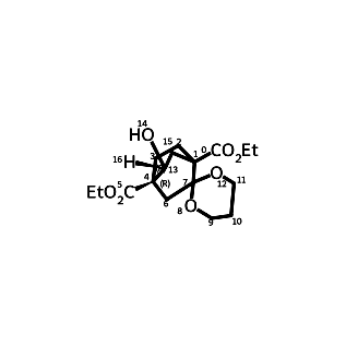 CCOC(=O)C12CC[C@@](C(=O)OCC)(CC13OCCCO3)[C@H](O)C2